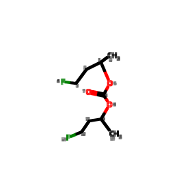 CC(CCF)OC(=O)OC(C)CCF